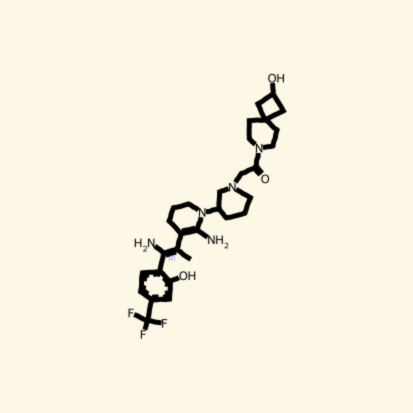 C/C(C1=C(N)N(C2CCCN(CC(=O)N3CCC4(CC3)CC(O)C4)C2)CCC1)=C(/N)c1ccc(C(F)(F)F)cc1O